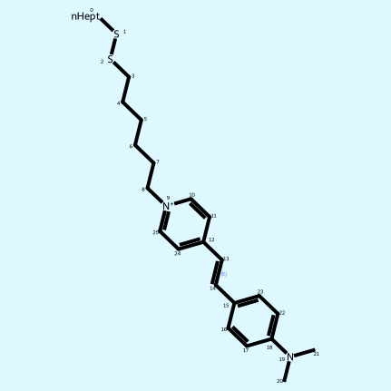 CCCCCCCSSCCCCCC[n+]1ccc(/C=C/c2ccc(N(C)C)cc2)cc1